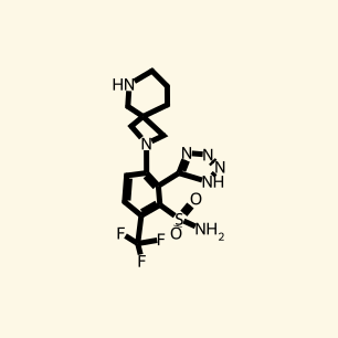 NS(=O)(=O)c1c(C(F)(F)F)ccc(N2CC3(CCCNC3)C2)c1-c1nnn[nH]1